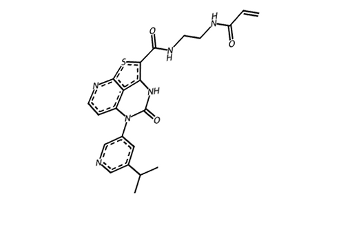 C=CC(=O)NCCNC(=O)c1sc2nccc3c2c1NC(=O)N3c1cncc(C(C)C)c1